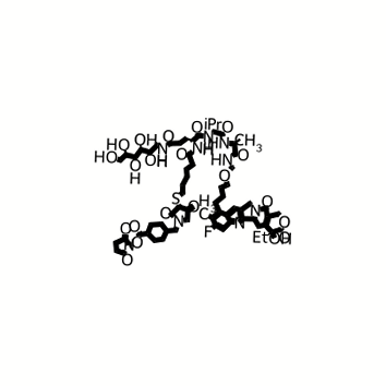 CC[C@@]1(O)C(=O)OCC2=C1CC1c3nc4cc(F)c(C)c(CCCCOCNC(=O)[C@H](C)NC(=O)[C@@H](NC(=O)[C@H](CCC(=O)NC[C@H](O)[C@@H](O)[C@H](O)[C@H](O)CO)NC(=O)CCCCCSC5C(=O)CN(CC6CCC(C(=O)ON7C(=O)CCC7=O)CC6)C5=O)C(C)C)c4cc3CN1C2=O